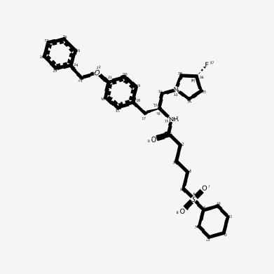 O=C(CCCCS(=O)(=O)C1CCCCC1)N[C@@H](Cc1ccc(OCc2ccccc2)cc1)CN1CC[C@@H](F)C1